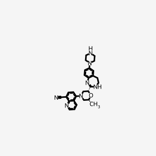 C[C@@H]1CN(c2ccc(C#N)c3ncccc23)C[C@H](C2=Nc3ccc(N4CCNCC4)cc3CCN2)O1